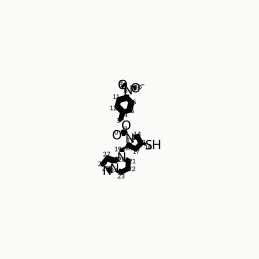 O=C(OCc1ccc([N+](=O)[O-])cc1)N1C[C@@H](S)C[C@H]1CN1CCCn2nccc21